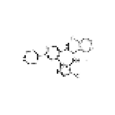 Fc1cccc(F)c1C1Nc2cnc(N3CCOCC3)cc2-n2ncc(Cl)c2N1